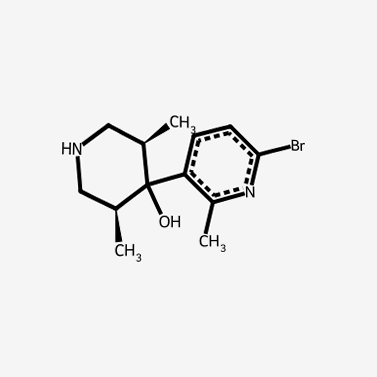 Cc1nc(Br)ccc1C1(O)[C@H](C)CNC[C@@H]1C